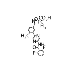 Cc1ccc(C2=NOC(C)(C(=O)O)C2)cc1-c1cnc(NC(=O)c2c(F)cccc2F)cn1